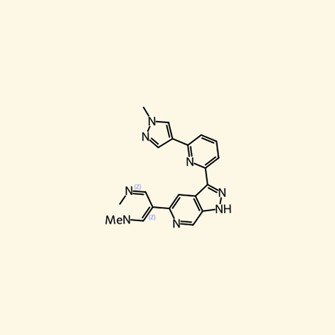 C/N=C\C(=C/NC)c1cc2c(-c3cccc(-c4cnn(C)c4)n3)n[nH]c2cn1